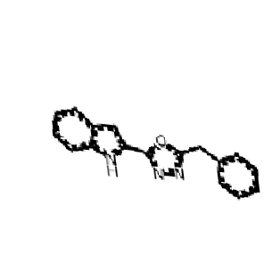 c1ccc(Cc2nnc(-c3cc4ccccc4[nH]3)o2)cc1